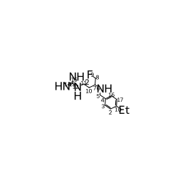 CCc1ccc(CNC(CF)CCNC(=N)N)cc1